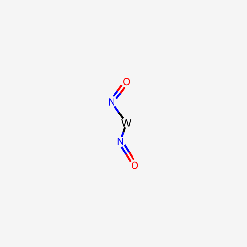 O=[N][W][N]=O